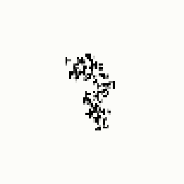 Nc1ncnn2c(-c3cc(C(=O)N[C@@H]4CN(C(=O)C5(O)CCCC5)C[C@@H]4F)c(Cl)cc3F)cc(C(F)(F)F)c12